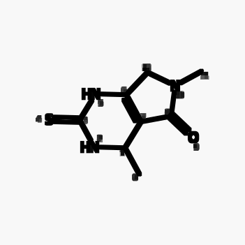 CC1NC(=S)NC2=C1C(=O)N(C)C2